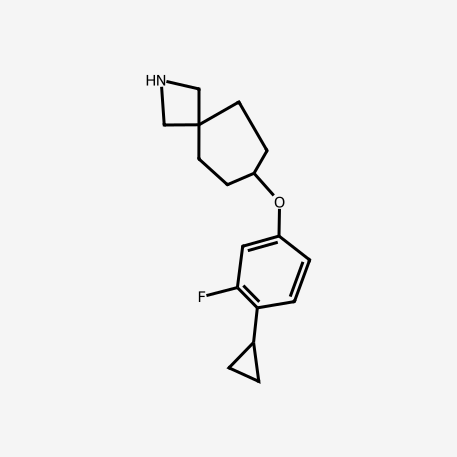 Fc1cc(OC2CCC3(CC2)CNC3)ccc1C1CC1